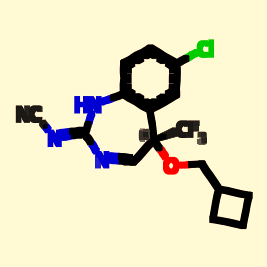 N#CN=C1N=C[C@](OCC2CCC2)(C(F)(F)F)c2cc(Cl)ccc2N1